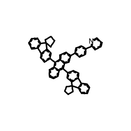 c1ccc(-c2ccc(-c3ccc4c(-c5ccc6c(c5)C5(CCCC5)c5ccccc5-6)c5ccccc5c(-c5ccc6c(c5)C5(CCCC5)c5ccccc5-6)c4c3)cc2)nc1